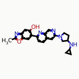 Cc1nc2cc(O)c(-c3ccc4cc(N5CCC(NC6CC6)C5)ncc4n3)cc2o1